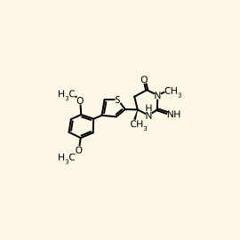 COc1ccc(OC)c(-c2csc([C@]3(C)CC(=O)N(C)C(=N)N3)c2)c1